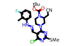 CSc1nc(Cl)c(/C=N/Nc2cccc(F)c2C)c(N2CCN(C(=O)OC(C)(C)C)C(CC#N)C2)n1